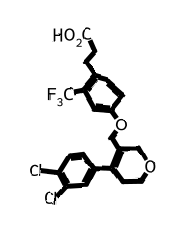 O=C(O)CCc1ccc(OCC2=C(c3ccc(Cl)c(Cl)c3)CCOC2)cc1C(F)(F)F